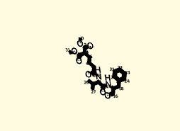 COC(=O)C(CCCC(=O)N[C@H](C(=O)NC(C=O)Cc1ccccc1)C(C)C)C(=O)OC